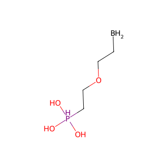 BCCOCC[PH](O)(O)O